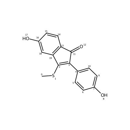 CSC1=C(c2ccc(O)cc2)C(=O)c2ccc(O)cc21